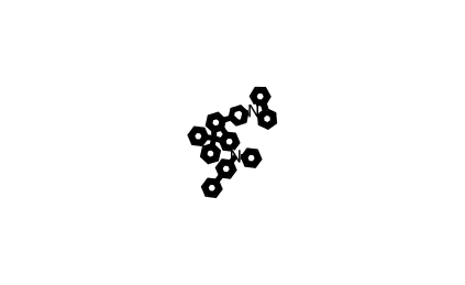 C1=C(c2cccc3c2-c2ccc(N(c4ccccc4)c4ccc(-c5ccccc5)cc4)cc2C3(c2ccccc2)c2ccccc2)CCC(n2c3ccccc3c3ccccc32)=C1